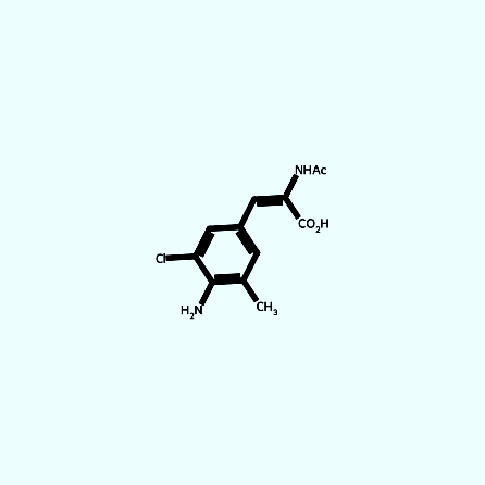 CC(=O)NC(=Cc1cc(C)c(N)c(Cl)c1)C(=O)O